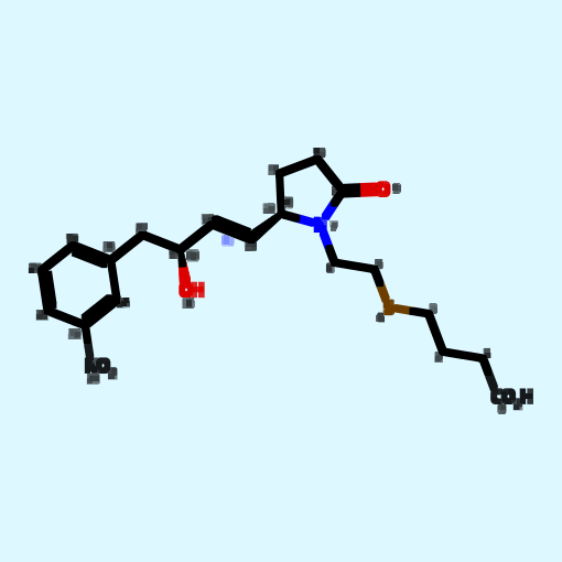 O=C(O)CCCSCCN1C(=O)CC[C@@H]1/C=C/[C@@H](O)Cc1cccc([N+](=O)[O-])c1